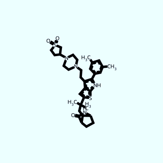 Cc1cc(C)cc(-c2[nH]c3sc(C(C)(C)CC4C5CCC4C(=O)N5)cc3c2CCN2CCN(C3CCS(=O)(=O)C3)CC2)c1